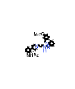 COc1cccc(Cn2c(NCCCN3CCC(c4cccc(NC(C)=O)c4)CC3)nc3ccccc32)c1